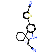 N#C/C=C1\Nc2ccc(-c3ccc(C#N)s3)cc2C12CCCCC2